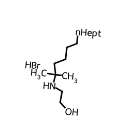 Br.CCCCCCCCCCCC(C)(C)NCCO